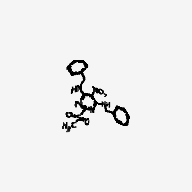 CS(=O)(=O)c1nc(NCc2ccccc2)c([N+](=O)[O-])c(NCc2ccccc2)n1